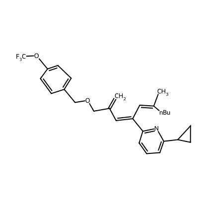 C=C(/C=C(\C=C(\C)CCCC)c1cccc(C2CC2)n1)COCc1ccc(OC(F)(F)F)cc1